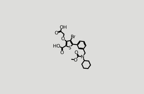 COC(=O)N(Cc1cccc(-c2sc(C(=O)O)c(OCC(=O)O)c2Br)c1)C1CCCCC1